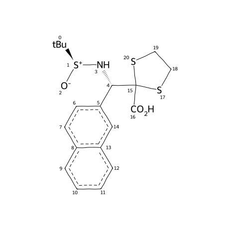 CC(C)(C)[S@+]([O-])N[C@@H](c1ccc2ccccc2c1)C1(C(=O)O)SCCS1